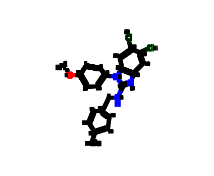 CCCOc1ccc(-n2c(NCc3ccc(C(C)(C)C)cc3)nc3cc(Cl)c(Cl)cc32)cc1